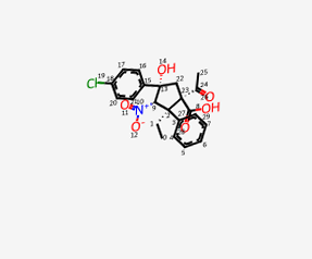 CC[C@]1(c2ccccc2)[C@H]([N+](=O)[O-])[C@@](O)(c2ccc(Cl)cc2)C[C@@]1(C(C)=O)C(=O)O